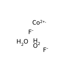 O.O.[Co+2].[F-].[F-]